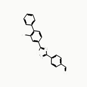 O=Cc1ccc(-c2noc(-c3ccc(-c4ccccc4)c(Cl)c3)n2)cc1